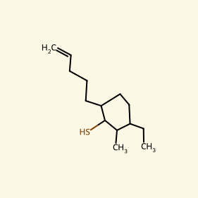 C=CCCCC1CCC(CC)C(C)C1S